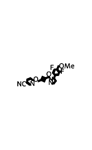 COCc1c(F)cc(C2CC=NN2C(=O)C23CC(COc4ccc(C#N)cn4)(C2)C3)cc1F